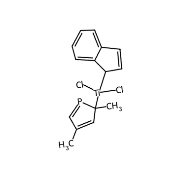 CC1=C[C](C)([Ti]([Cl])([Cl])[CH]2C=Cc3ccccc32)P=C1